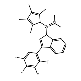 CC1=C(C)[CH]([Zr]([CH]2C=C(c3cc(F)c(F)c(F)c3F)c3ccccc32)=[Si](C)C)C(C)=C1C